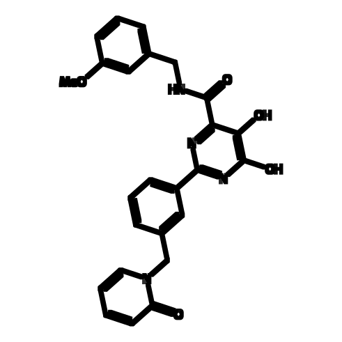 COc1cccc(CNC(=O)c2nc(-c3cccc(Cn4ccccc4=O)c3)nc(O)c2O)c1